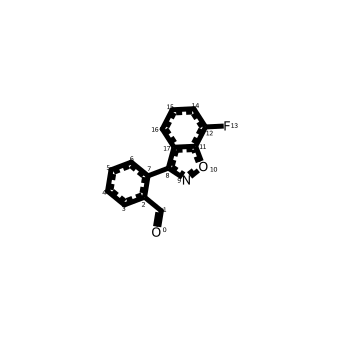 O=Cc1ccccc1-c1noc2c(F)cccc12